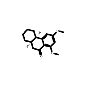 COc1cc(OC)c2c(c1)[C@@H]1CCCC[C@@H]1CC2=O